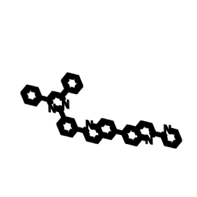 c1ccc(-c2cc(-c3ccccc3)nc(-c3cccc(-c4ccc5cc(-c6ccc7nc(-c8ccccn8)ccc7c6)ccc5n4)c3)n2)cc1